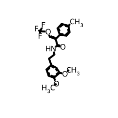 COc1ccc(CCNC(=O)C(=COC(F)(F)F)c2ccc(C)cc2)cc1OC